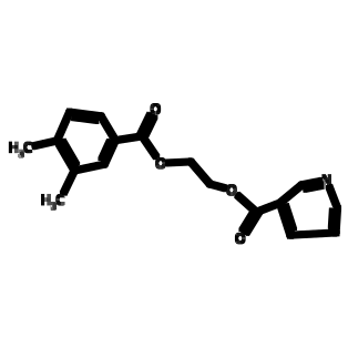 Cc1ccc(C(=O)OCCOC(=O)c2cccnc2)cc1C